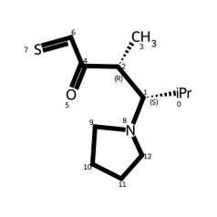 CC(C)[C@@H]([C@@H](C)C(=O)C=S)N1CCCC1